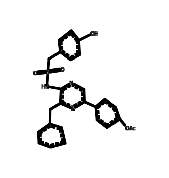 CC(=O)Oc1ccc(-c2cnc(NS(=O)(=O)Cc3ccc(O)cc3)c(Cc3ccccc3)n2)cc1